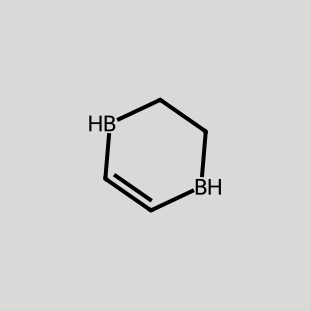 B1C=CBCC1